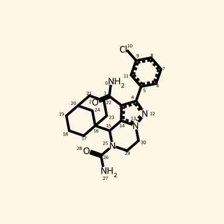 NC(=O)c1c(-c2cccc(Cl)c2)nn2c1C(C13CCCC(CCC1)C3)N(C(N)=O)CC2